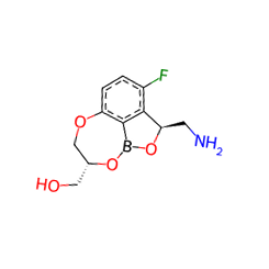 NC[C@H]1OB2O[C@H](CO)COc3ccc(F)c1c32